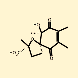 CC1=C(C)C(=O)[C@]2(CC[C@](C)(C(=O)O)O2)[C@@](C)(O)C1=O